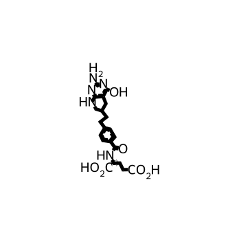 Nc1nc(O)c2c(n1)NCC(CCc1ccc(C(=O)N[C@@H](CCC(=O)O)C(=O)O)cc1)C2